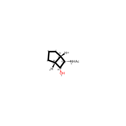 CC(=O)N[C@@H]1[C@H](O)[C@@H]2CCC[C@@H]21